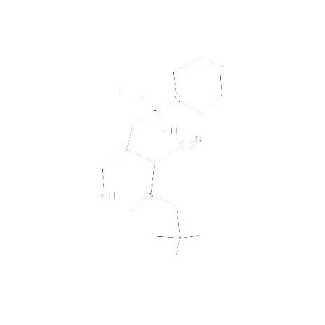 CCC(CC(C)(C)N1CCOCC1)C(C#N)C(=O)OC(C)(C)C